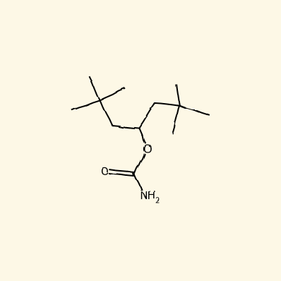 CC(C)(C)CC(CC(C)(C)C)OC(N)=O